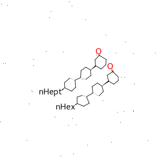 CCCCCCC[C@H]1CC[C@H]([C@H]2CC[C@H](C3CCCC(=O)C3)CC2)CC1.CCCCCC[C@H]1CC[C@H]([C@H]2CC[C@H](C3CCCC(=O)C3)CC2)CC1